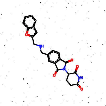 O=C1CCC(N2C(=O)c3ccc(CNCc4cc5ccccc5o4)cc3C2=O)C(=O)N1